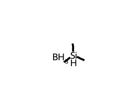 B.C[SiH](C)C